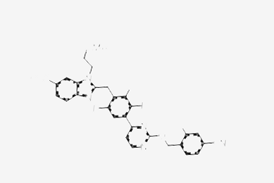 COCCn1c(Cc2c(F)cc(-c3ccnc(OCc4ccc(C#N)cc4F)n3)c(F)c2F)nc2ccc(C(=O)O)cc21